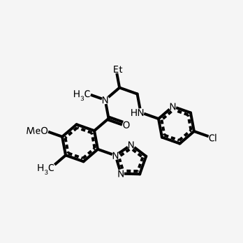 CCC(CNc1ccc(Cl)cn1)N(C)C(=O)c1cc(OC)c(C)cc1-n1nccn1